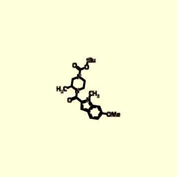 COc1ccc2cc(C(=O)N3CCN(C(=O)OC(C)(C)C)C[C@@H]3C)n(C)c2c1